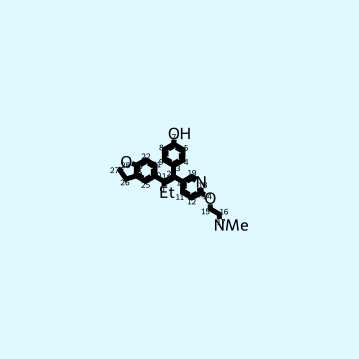 CC/C(=C(/c1ccc(O)cc1)c1ccc(OCCNC)nc1)c1ccc2c(c1)CCO2